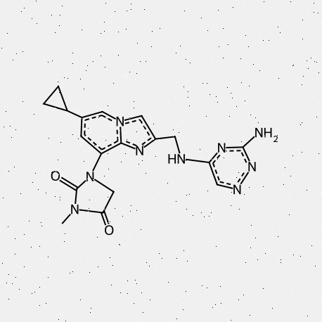 CN1C(=O)CN(c2cc(C3CC3)cn3cc(CNc4cnnc(N)n4)nc23)C1=O